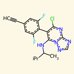 C#Cc1cc(F)c(-c2c(Cl)nc3ncnn3c2NC(C)C(C)C)c(F)c1